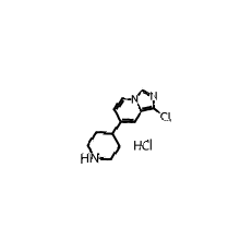 Cl.Clc1ncn2ccc(C3CCNCC3)cc12